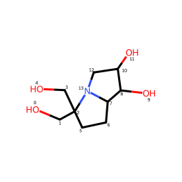 OCC1(CO)CCC2C(O)C(O)CN21